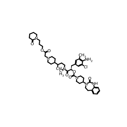 Cc1cc(C[C@@H](OC(=O)N2CCC(N3CCc4ccccc4NC3=O)CC2)C(=O)N(C)CCC(C)C2CCN(CC(=O)OCCCN3CCCCC3=O)CC2)cc(Cl)c1N